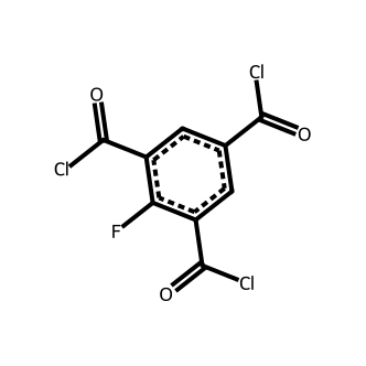 O=C(Cl)c1cc(C(=O)Cl)c(F)c(C(=O)Cl)c1